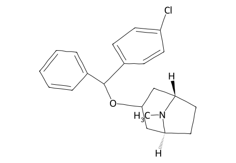 CN1[C@H]2CC[C@H]1CC(OC(c1ccccc1)c1ccc(Cl)cc1)C2